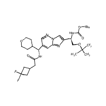 CC(C)(C)OC(=O)N[C@@H](COC(C)(C)C(F)(F)F)c1cn2ncc(C(NC(=O)CC3CC(F)(F)C3)C3CCOCC3)cc2n1